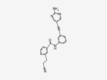 N#CCCc1cccc(C(=O)Nc2cccc(C#Cc3cnc(N)nc3)c2)c1